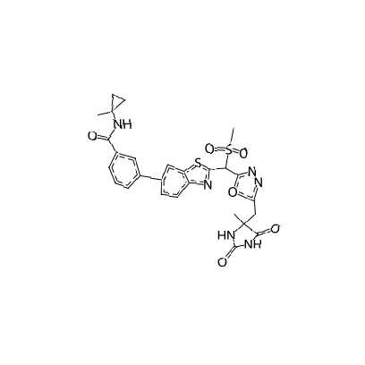 CC1(NC(=O)c2cccc(-c3ccc4nc(C(c5nnc(CC6(C)NC(=O)NC6=O)o5)S(C)(=O)=O)sc4c3)c2)CC1